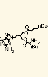 CCCCCCCCCCCCCC(=O)OCC(CCn1cnc2c(=O)[nH]c(N)nc21)COC(=O)[C@@H](N)[C@@H](C)CC